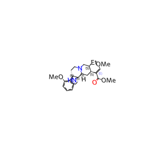 CC[C@@H]1CN2CC[C@@]34CCCC[C@@]3(Nc3cccc(OC)c34)[C@@H]2C[C@@H]1/C(=C\OC)C(=O)OC